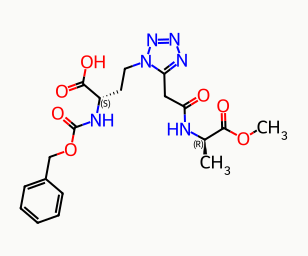 COC(=O)[C@@H](C)NC(=O)Cc1nnnn1CC[C@H](NC(=O)OCc1ccccc1)C(=O)O